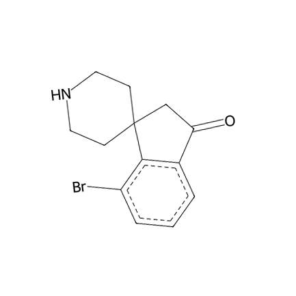 O=C1CC2(CCNCC2)c2c(Br)cccc21